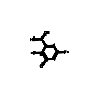 OB(O)c1cc(F)cc(Cl)c1F